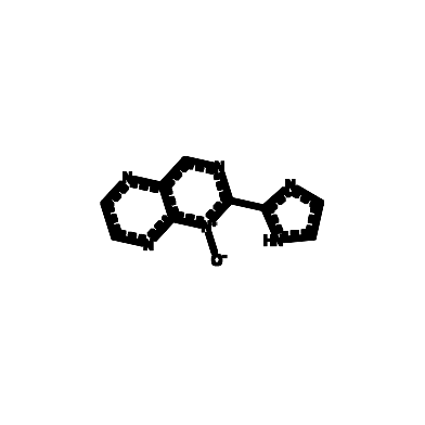 [O-][n+]1c(-c2ncc[nH]2)ncc2nccnc21